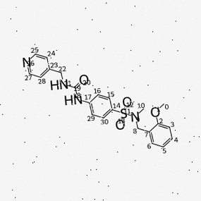 COc1ccccc1CN(C)S(=O)(=O)c1ccc(NC(=O)NCc2ccncc2)cc1